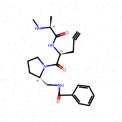 C#CC[C@H](NC(=O)[C@H](C)NC)C(=O)N1CCC[C@H]1CNC(=O)c1ccccc1